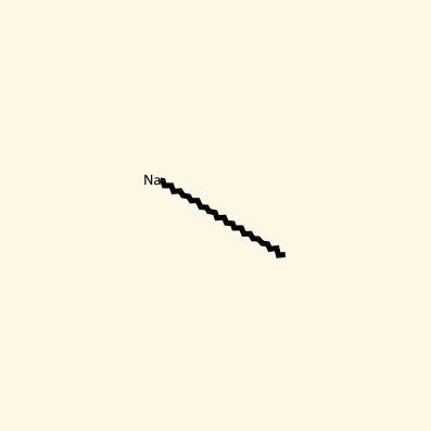 CCCCCCCCCCCCCCCCCCCCCCCCCCCC[CH2][Na]